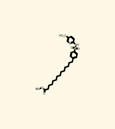 CC(C)(C)OC(=O)CCCCCCCCCCCCCc1ccc(S(=O)(=O)Nc2ccc(C(=O)O)cn2)cc1